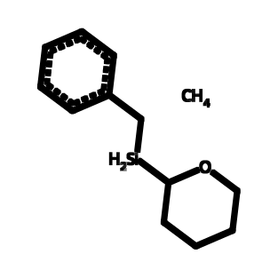 C.c1ccc(C[SiH2]C2CCCCO2)cc1